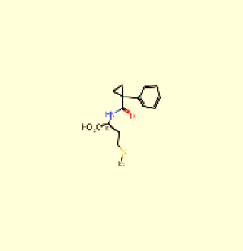 CCSCC[C@H](NC(=O)C1(c2ccccc2)CC1)C(=O)O